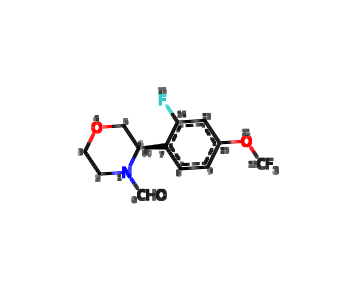 O=CN1CCOC[C@H]1c1ccc(OC(F)(F)F)cc1F